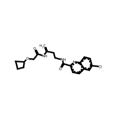 C=C(CCNC(=O)c1ccc2cc(Cl)ccc2n1)NC(=O)COC1CCC1